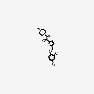 CN1CCN(NC(=O)c2ccc(COc3ccc(Cl)cc3Cl)o2)CC1